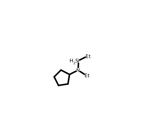 CC[SiH2]N(CC)C1CCCC1